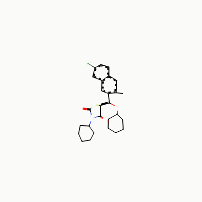 Cc1cc2ccc(Cl)cc2cc1/C(OC1CCCCC1)=C1\SC(=O)N(C2CCCCC2)C1=O